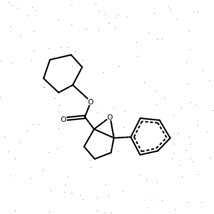 O=C(OC1CCCCC1)C12CCCC1(c1ccccc1)O2